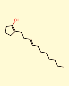 CCCCCCC/C=C/CCC1=C(O)CCC1